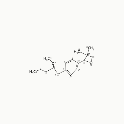 CCCC(OC)Oc1ccc(C2OCC2(C)C)cc1